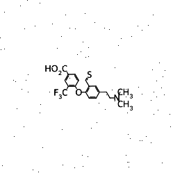 CN(C)CCc1ccc(Oc2ccc(C(=O)O)cc2C(F)(F)F)c(C=S)c1